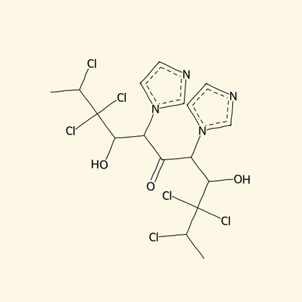 CC(Cl)C(Cl)(Cl)C(O)C(C(=O)C(C(O)C(Cl)(Cl)C(C)Cl)n1ccnc1)n1ccnc1